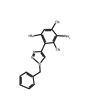 CCCCc1cc(C#N)c(N)c(C#N)c1-c1cn(Cc2ccccc2)nn1